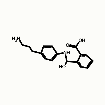 NCCCc1ccc(NC(O)c2ccccc2C(=O)O)cc1